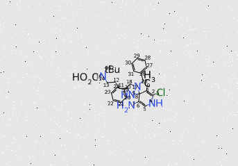 CC1=C(Cl)NC=C(N)C1(NCCCCN(C(=O)O)C(C)(C)C)N(Cc1ccccc1)Cc1ccccc1